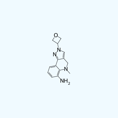 CN1Cc2cn(C3COC3)nc2-c2cccc(N)c21